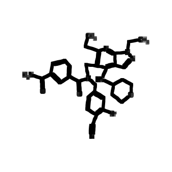 CCc1nc2c(cnn2CC)c(NC2CCOCC2)c1CN(Cc1ccc(C#N)c(Br)c1)C(=O)c1cccc(C(N)=O)c1